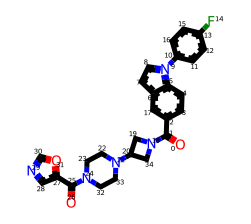 O=C(c1ccc2c(ccn2-c2ccc(F)cc2)c1)N1CC(N2CCN(C(=O)c3cnco3)CC2)C1